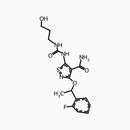 CC(Oc1nsc(NC(=O)NCCCO)c1C(N)=O)c1ccccc1F